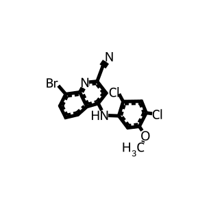 COc1cc(Nc2cc(C#N)nc3c(Br)cccc23)c(Cl)cc1Cl